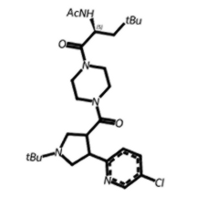 CC(=O)N[C@@H](CC(C)(C)C)C(=O)N1CCN(C(=O)C2CN(C(C)(C)C)CC2c2ccc(Cl)cn2)CC1